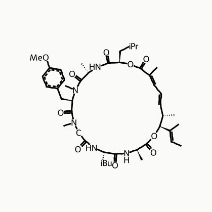 C/C=C(\C)[C@H]1OC(=O)[C@@H](C)NC(=O)[C@H](C(C)CC)NC(=O)CN(C)C(=O)[C@@H](Cc2ccc(OC)cc2)N(C)C(=O)[C@H](C)NC(=O)[C@@H](CC(C)C)OC(=O)/C(C)=C/C=C/[C@@H]1C